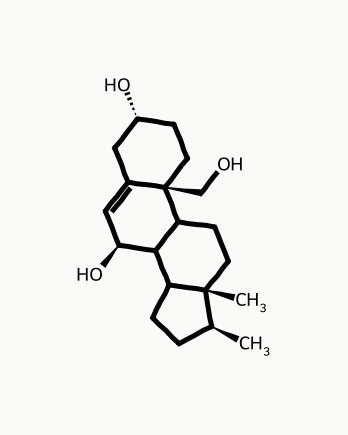 C[C@H]1CCC2C3C(CC[C@@]21C)[C@@]1(CO)CC[C@@H](O)CC1=C[C@@H]3O